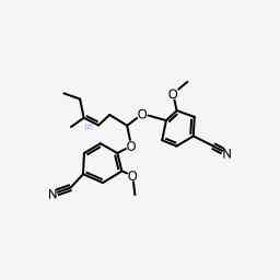 CC/C(C)=C\CC(Oc1ccc(C#N)cc1OC)Oc1ccc(C#N)cc1OC